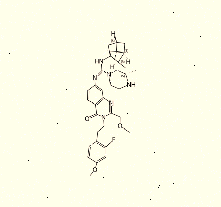 COCc1nc2cc(N=C(NC3C[C@@H]4C[C@@H]([C@H]3C)C4(C)C)N3CCN[C@@H](C)C3)ccc2c(=O)n1CCc1ccc(OC)cc1F